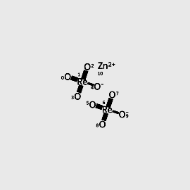 [O]=[Re](=[O])(=[O])[O-].[O]=[Re](=[O])(=[O])[O-].[Zn+2]